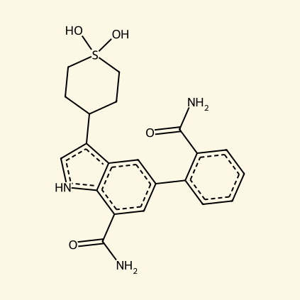 NC(=O)c1ccccc1-c1cc(C(N)=O)c2[nH]cc(C3CCS(O)(O)CC3)c2c1